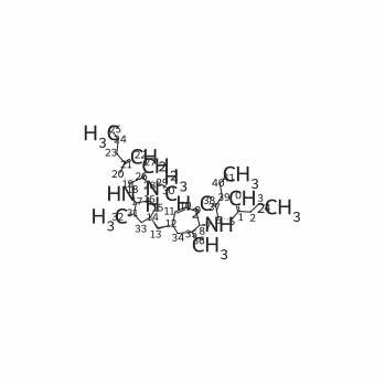 C=C(CCC)C[C@H](N[C@@H]1CC=C[C@H](C[C@@H]2CC[C@H](N[C@H](CC(=C)CCC)C(=C)NCC)[C@H](C)C2)C[C@@H]1C)C(=C)CCC